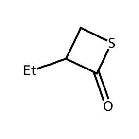 CCC1CSC1=O